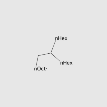 CCCCCCC[CH]CC(CCCCCC)CCCCCC